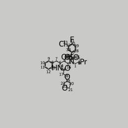 CC(C)CN(C[C@@H](O)[C@H](Cc1ccccc1)NC(=O)COC1CCOC1)S(=O)(=O)c1ccc(F)c(Cl)c1